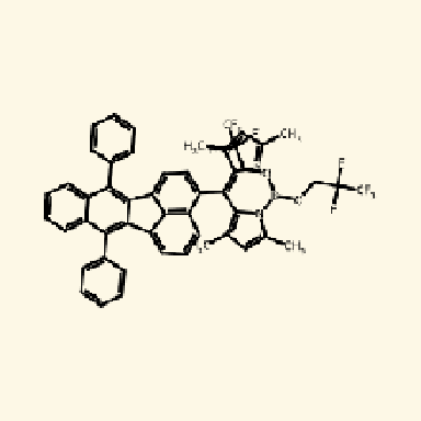 CC1=CC(C)=N/C1=C(/c1ccc2c3c(cccc13)-c1c-2c(-c2ccccc2)c2ccccc2c1-c1ccccc1)c1c(C)cc(C)n1B(OCC(F)(F)C(F)(F)F)OCC(F)(F)C(F)(F)F